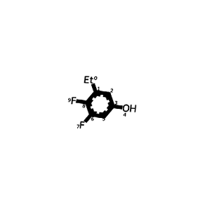 CCc1cc(O)cc(F)c1F